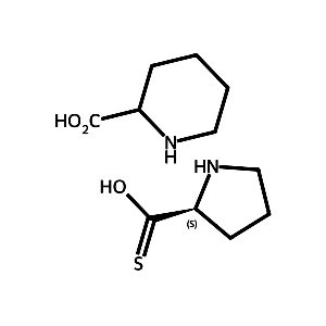 O=C(O)C1CCCCN1.OC(=S)[C@@H]1CCCN1